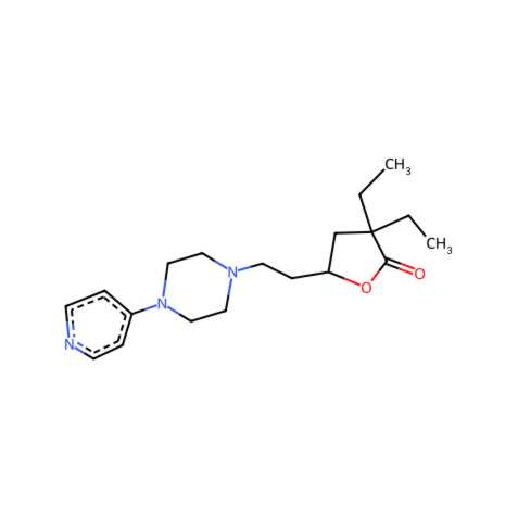 CCC1(CC)CC(CCN2CCN(c3ccncc3)CC2)OC1=O